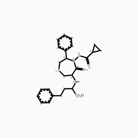 CCOC(=O)C(CCc1ccccc1)NC1CSCC(c2ccccc2)N(OC(=O)C2CC2)C1=O